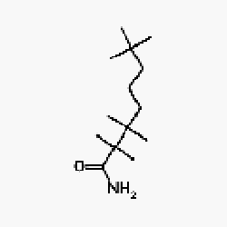 CC(C)(C)CCCC(C)(C)C(C)(C)C(N)=O